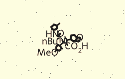 CCCCC(C(=O)Nc1cccc(C)c1)N1CC(c2ccc3occc3c2)C(C(=O)O)C1c1ccc(OC)cc1